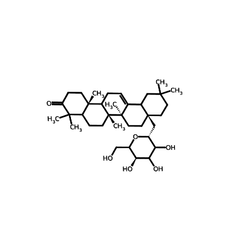 CC1(C)CC[C@]2(C[C@H]3OC(CO)[C@H](O)C(O)C3O)CC[C@]3(C)C(=CCC4[C@@]5(C)CCC(=O)C(C)(C)C5CC[C@]43C)C2C1